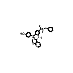 O=C(NCc1ccccc1)c1ccc(Sc2ccc(O)cc2)c(Nc2ncnc3ncccc23)c1